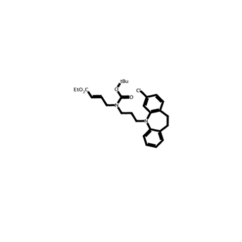 CCOC(=O)/C=C/CN(CCCN1c2ccccc2CCc2ccc(Cl)cc21)C(=O)OC(C)(C)C